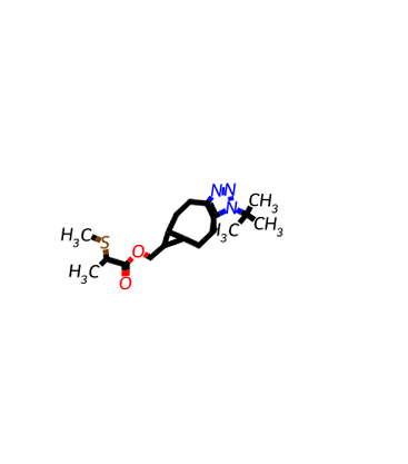 CSC(C)C(=O)OCC1C2CCc3nnn(C(C)(C)C)c3CCC21